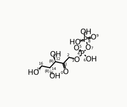 O=C(COP(=O)(O)OP(=O)(O)O)[C@H](O)[C@H](O)CO